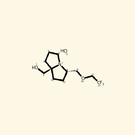 Cl.OC[C@@]12CCCN1[C@H](COCC(F)(F)F)CC2